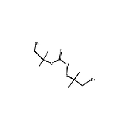 CC(C)CC(C)(C)OOC(=O)OC(C)(C)CC(C)C